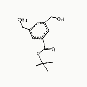 CC(C)(C)OC(=O)c1cc(CO)cc(CO)c1